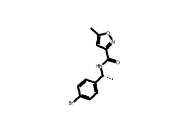 Cc1cc(C(=O)N[C@H](C)c2ccc(Br)cc2)no1